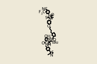 Cc1ncsc1-c1ccc(CNC(=O)[C@@H]2C[C@@H](O)CN2C(=O)[C@@H](NC(=O)c2cccc(CCCCOc3ccc(N4C(=S)N(c5ccc(C#N)c(C(F)(F)F)c5)C(=O)C4(C)C)cc3)c2)C(C)(C)C)cc1